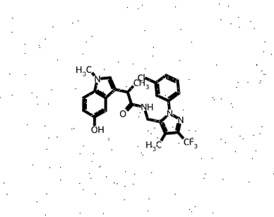 Cc1c(C(F)(F)F)nn(-c2cccc(Cl)c2)c1CNC(=O)C(C)c1cn(C)c2ccc(O)cc12